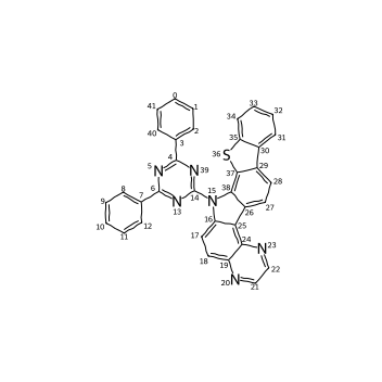 c1ccc(-c2nc(-c3ccccc3)nc(-n3c4ccc5nccnc5c4c4ccc5c6ccccc6sc5c43)n2)cc1